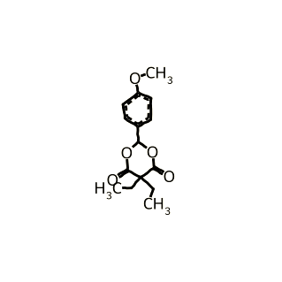 CCC1(CC)C(=O)OC(c2ccc(OC)cc2)OC1=O